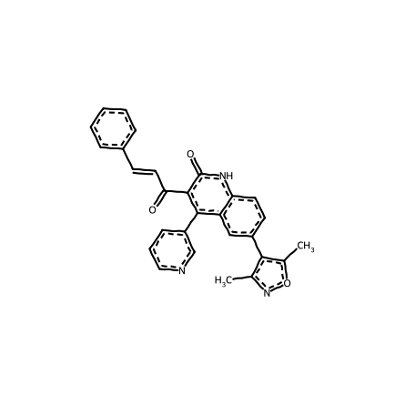 Cc1noc(C)c1-c1ccc2[nH]c(=O)c(C(=O)C=Cc3ccccc3)c(-c3cccnc3)c2c1